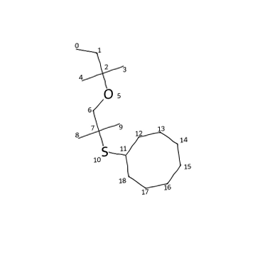 CCC(C)(C)OCC(C)(C)SC1CCCCCCC1